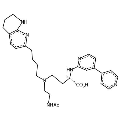 CC(=O)NCCN(CCCCc1ccc2c(n1)NCCC2)CC[C@H](Nc1cc(-c2ccncc2)ccn1)C(=O)O